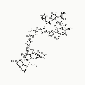 CCc1cccc2cc(O)cc(-c3ncc4c(N5CC6CCC(C5)N6)nc(N5CC(CN6CCC(CC7CN(c8cc(C(C(=O)N9C[C@H](O)C[C@H]9C(=O)NC(C)c9ccc(-c%10scnc%10C)cc9)C(C)C)on8)C7)CC6)C5)nc4c3F)c12